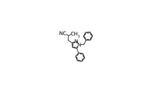 CC(C#N)Cc1cc(-c2ccccc2)n(Cc2ccccc2)n1